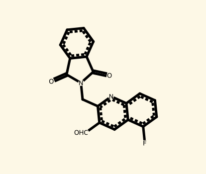 O=Cc1cc2c(F)cccc2nc1CN1C(=O)c2ccccc2C1=O